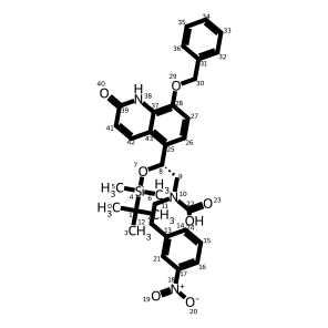 CC(C)(C)[Si](C)(C)O[C@@H](CN(CCc1cccc([N+](=O)[O-])c1)C(=O)O)c1ccc(OCc2ccccc2)c2[nH]c(=O)ccc12